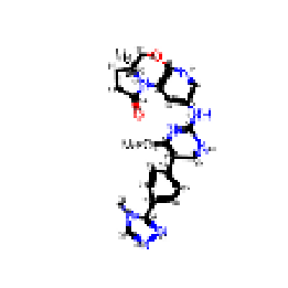 COc1nc(Nc2cnc3c(c2)N2C(=O)CC[C@H]2CO3)ncc1-c1ccc(-c2nncn2C)cc1